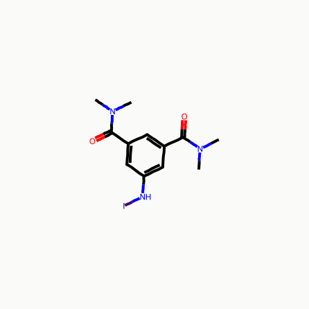 CN(C)C(=O)c1cc(NI)cc(C(=O)N(C)C)c1